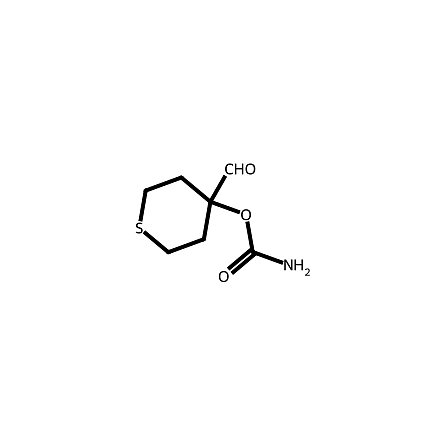 NC(=O)OC1(C=O)CCSCC1